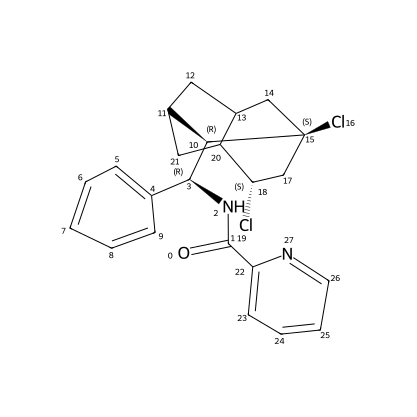 O=C(N[C@@H](c1ccccc1)[C@H]1C2CC3C[C@]1(Cl)C[C@H](Cl)C3C2)c1ccccn1